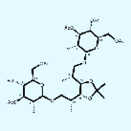 CC(=O)OC[C@H]1O[C@@H](OC[C@@H](C)[C@H]2OC(C)(C)O[C@@H]2[C@H](C)COC2O[C@H](COC(C)=O)[C@@H](OC(C)=O)[C@H](OC(C)=O)[C@H]2C)[C@H](C)[C@@H](OC(C)=O)[C@@H]1OC(C)=O